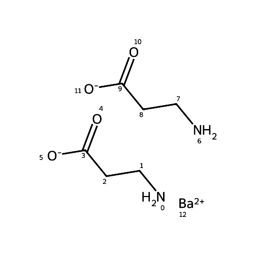 NCCC(=O)[O-].NCCC(=O)[O-].[Ba+2]